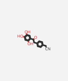 N#CCc1ccc(CC(=O)c2cc(O)c(O)cc2O)cc1